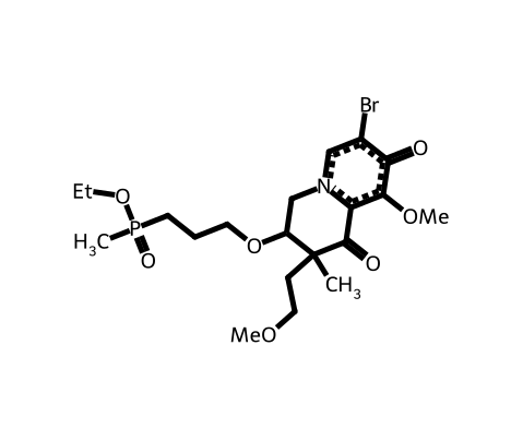 CCOP(C)(=O)CCCOC1Cn2cc(Br)c(=O)c(OC)c2C(=O)C1(C)CCOC